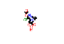 CC(C)(C)[C@@H]1Cn2nc(OC3COC3)c(Cl)c2-c2cc(=O)c(C(=O)O)cn21